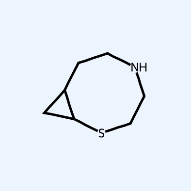 C1CSC2CC2CCN1